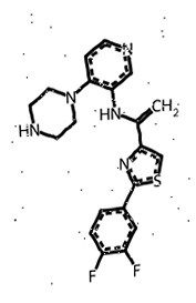 C=C(Nc1cnccc1N1CCNCC1)c1csc(-c2ccc(F)c(F)c2)n1